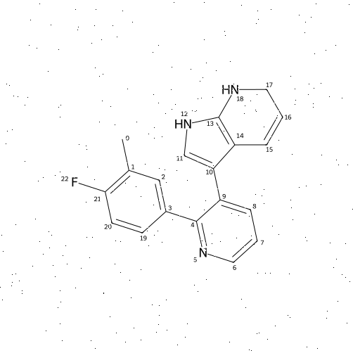 Cc1cc(-c2ncccc2-c2c[nH]c3c2C=CCN3)ccc1F